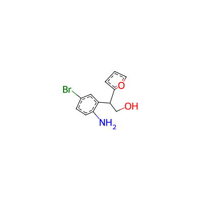 Nc1ccc(Br)cc1C(CO)c1ccco1